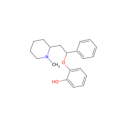 CN1CCCCC1CC(Oc1ccccc1O)c1ccccc1